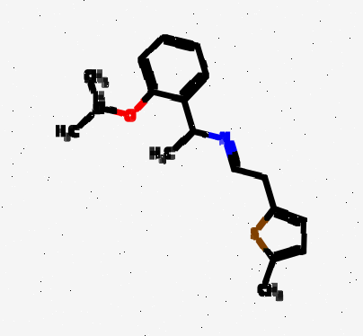 Cc1ccc(CC=NC(C)c2ccccc2O[SiH](C)C)s1